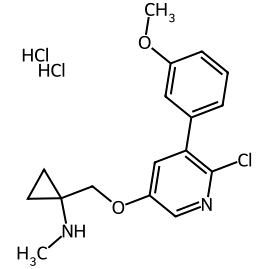 CNC1(COc2cnc(Cl)c(-c3cccc(OC)c3)c2)CC1.Cl.Cl